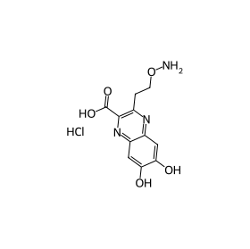 Cl.NOCCc1nc2cc(O)c(O)cc2nc1C(=O)O